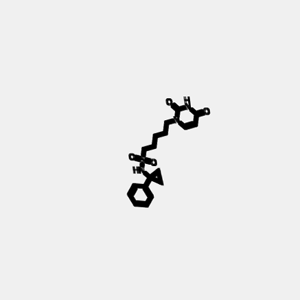 O=c1ccn(CCCCCS(=O)(=O)NC2(c3ccccc3)CC2)c(=O)[nH]1